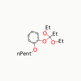 CCCCCOc1ccccc1OC(CC)(OCC)OCC